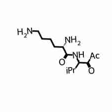 CC(=O)C(=O)[C](NC(=O)[C@@H](N)CCCCN)C(C)C